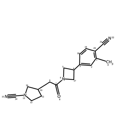 Cc1cc(C2CN(C(=O)CC3CCN(C#N)C3)C2)ccc1C#N